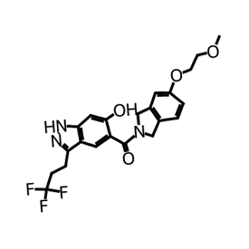 COCCOc1ccc2c(c1)CN(C(=O)c1cc3c(CCC(F)(F)F)n[nH]c3cc1O)C2